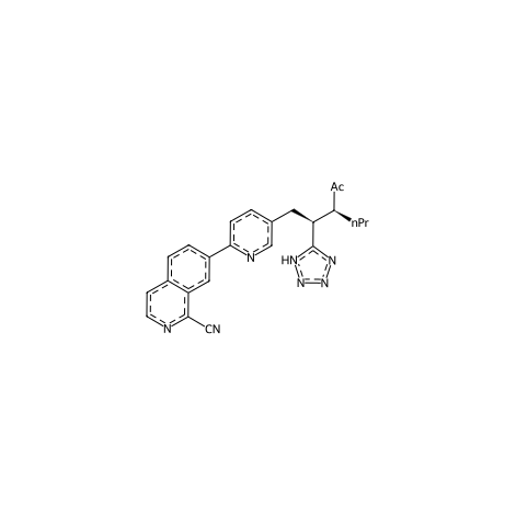 CCC[C@H](C(C)=O)[C@H](Cc1ccc(-c2ccc3ccnc(C#N)c3c2)nc1)c1nnn[nH]1